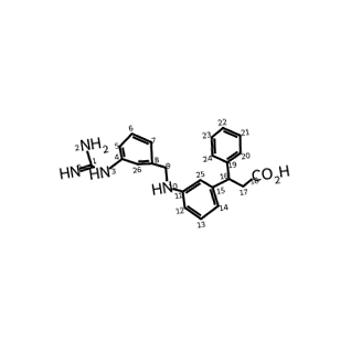 N=C(N)Nc1cccc(CNc2cccc(C(CC(=O)O)c3ccccc3)c2)c1